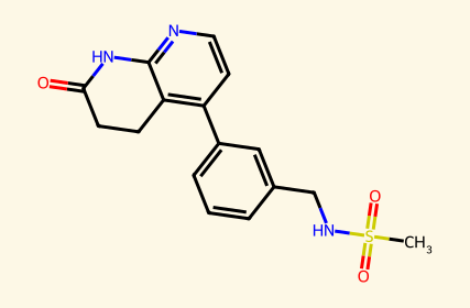 CS(=O)(=O)NCc1cccc(-c2ccnc3c2CCC(=O)N3)c1